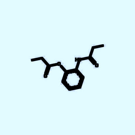 CCC(=O)Nc1ccccc1OC(=O)CC